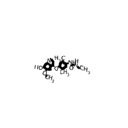 CCNC(=O)Nc1cc(C)c(Oc2ccnc3cc(O)c(OC)cc23)cc1C